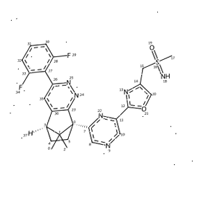 CC1(C)[C@H]2CC[C@]1(c1cncc(-c3nc(CS(C)(=N)=O)co3)n1)c1nnc(-c3c(F)cccc3F)cc12